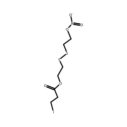 O=C(CCI)OCCSSCCO[N+](=O)[O-]